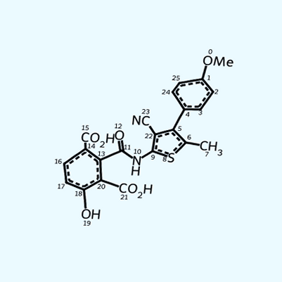 COc1ccc(-c2c(C)sc(NC(=O)c3c(C(=O)O)ccc(O)c3C(=O)O)c2C#N)cc1